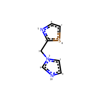 c1cn(Cc2nccs2)cn1